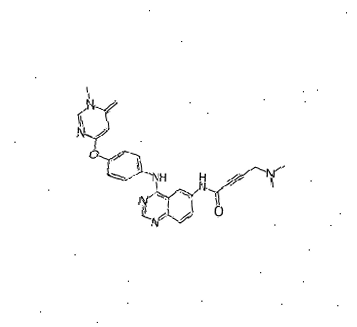 C=C1C=C(Oc2ccc(Nc3ncnc4ccc(NC(=O)C#CCN(C)C)cc34)cc2)N=CN1C